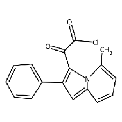 Cc1cccc2cc(-c3ccccc3)c(C(=O)C(=O)Cl)n12